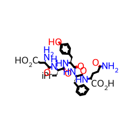 CC(C)C[C@H](NC(=O)[C@@H](N)CC(=O)O)C(=O)N[C@@H](Cc1ccc(O)cc1)C(=O)N[C@@H](Cc1ccccc1)C(=O)N[C@@H](CCC(N)=O)C(=O)O